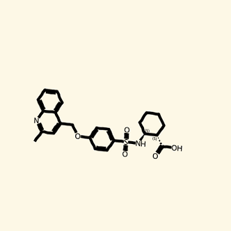 Cc1cc(COc2ccc(S(=O)(=O)N[C@H]3CCCC[C@@H]3C(=O)O)cc2)c2ccccc2n1